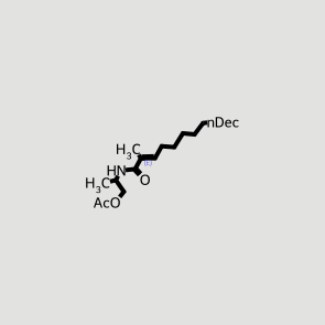 CCCCCCCCCCCCCCC/C=C(\C)C(=O)NC(C)COC(C)=O